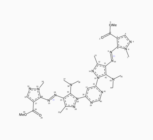 COC(=O)c1cnn(C)c1/N=N/c1c(C)nn(-c2cc(-n3nc(C)c(/N=N/c4c(C(=O)OC)cnn4C)c3N(C)C)ncn2)c1N(C)C